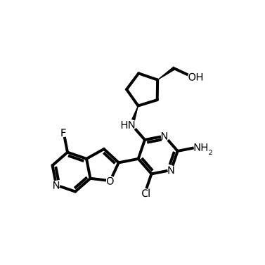 Nc1nc(Cl)c(-c2cc3c(F)cncc3o2)c(N[C@H]2CC[C@@H](CO)C2)n1